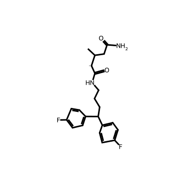 CC([CH]C(=O)NCCCC(c1ccc(F)cc1)c1ccc(F)cc1)CC(N)=O